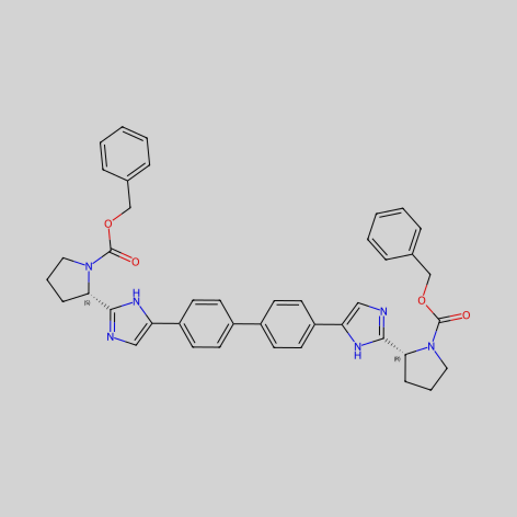 O=C(OCc1ccccc1)N1CCC[C@@H]1c1ncc(-c2ccc(-c3ccc(-c4cnc([C@@H]5CCCN5C(=O)OCc5ccccc5)[nH]4)cc3)cc2)[nH]1